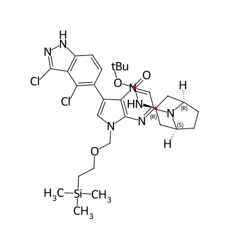 CC(C)(C)OC(=O)N[C@H]1C[C@H]2CC[C@@H](C1)N2c1cnc2c(-c3ccc4[nH]nc(Cl)c4c3Cl)cn(COCC[Si](C)(C)C)c2n1